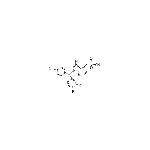 CS(=O)(=O)Cc1cccc2c(C(c3ccc(Cl)cc3)c3ccc(F)c(Cl)c3)c[nH]c12